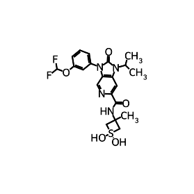 CC(C)n1c(=O)n(-c2cccc(OC(F)F)c2)c2cnc(C(=O)NC3(C)CS(O)(O)C3)cc21